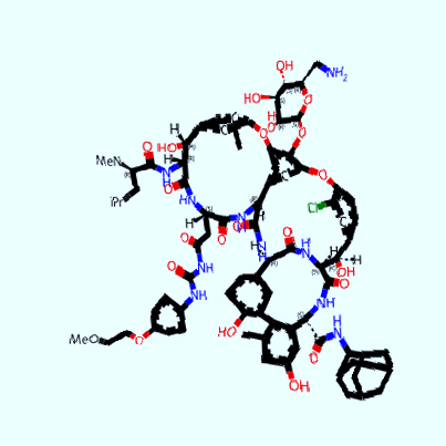 CN[C@H](CC(C)C)C(=O)N[C@H]1C(=O)N[C@@H](CC(=O)NC(=O)Nc2ccc(OCCOC)cc2)C(=O)N[C@H]2C(=O)N[C@H]3C(=O)N[C@H](C(=O)N[C@H](C(=O)NC4C5CC6CC(C5)CC4C6)c4cc(O)cc(C)c4-c4cc3ccc4O)[C@H](O)c3ccc(c(Cl)c3)Oc3cc2cc(c3O[C@@H]2O[C@H](CN)[C@@H](O)[C@H](O)[C@H]2O)Oc2ccc(cc2C)[C@H]1O